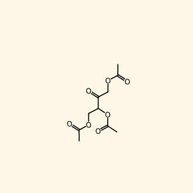 CC(=O)OCC(=O)C(COC(C)=O)OC(C)=O